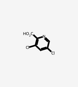 O=C(O)c1ncc(Cl)[c]c1Cl